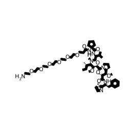 CC[C@H](C)[C@@H]([C@@H](CC(=O)N1CCC[C@H]1[C@H](OC)[C@@H](C)C(=O)N[C@@H](Cc1ccccc1)c1nccs1)OC)N(C)C(=O)[C@@H](NC(=O)C1(NC(=O)CCOCCOCCOCCOCCOCCOCCN)CCCC1)C(C)C